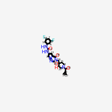 O=C(Nc1cc(F)cc(F)c1)Nc1cc2c(=O)n(CC3(O)CCN(C(=O)C4CC4)CC3)cnn2c1